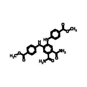 COC(=O)c1ccc(Nc2cc(C(N)=O)c(C(N)=O)cc2Nc2ccc(C(=O)OC)cc2)cc1